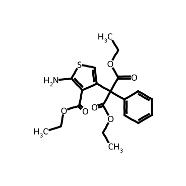 CCOC(=O)c1c(C(C(=O)OCC)(C(=O)OCC)c2ccccc2)csc1N